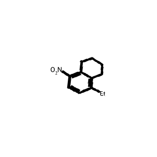 CCc1ccc([N+](=O)[O-])c2c1CCCC2